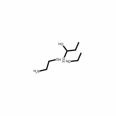 CCC(O)O.CCO.NCCO